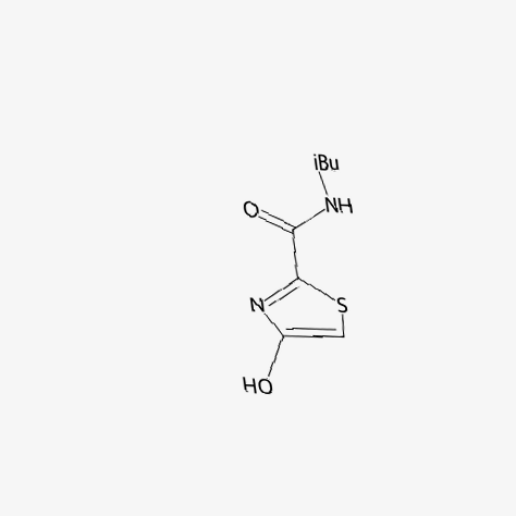 CCC(C)NC(=O)c1nc(O)cs1